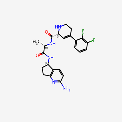 C[C@H](NC(=O)[C@H]1C=C(c2cccc(F)c2F)CCN1)C(=O)N[C@@H]1CCc2nc(N)ccc21